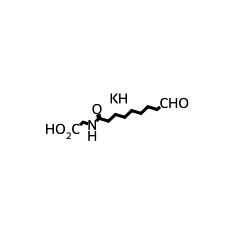 O=CCCCCCCCC(=O)NCC(=O)O.[KH]